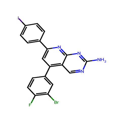 Nc1ncc2c(-c3ccc(F)c(Br)c3)cc(-c3ccc(I)cc3)nc2n1